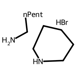 Br.C1CCNCC1.CCCCCCN